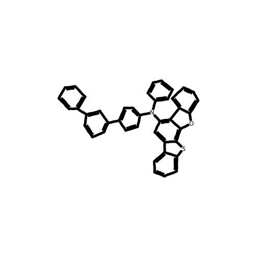 c1ccc(-c2cccc(-c3ccc(N(c4ccccc4)c4cc5c6ccccc6sc5c5oc6ccccc6c45)cc3)c2)cc1